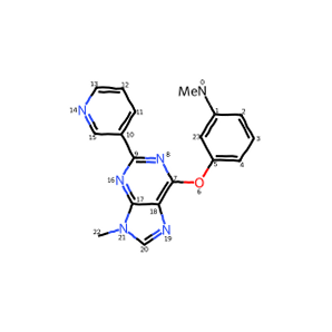 CNc1cccc(Oc2nc(-c3cccnc3)nc3c2ncn3C)c1